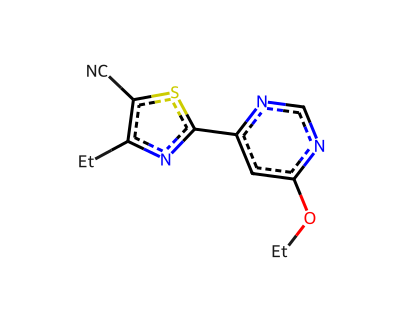 CCOc1cc(-c2nc(CC)c(C#N)s2)ncn1